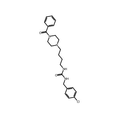 O=C(NCCCCN1CCN(C(=O)c2ccccc2)CC1)NCc1ccc(Cl)cc1